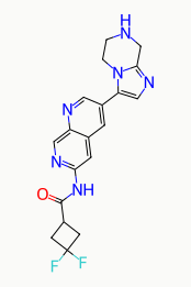 O=C(Nc1cc2cc(-c3cnc4n3CCNC4)cnc2cn1)C1CC(F)(F)C1